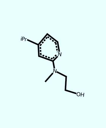 CC(C)c1ccnc(N(C)CCO)c1